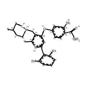 CCc1cccc(CC)c1-c1cc(Oc2ccc(C(N)=O)c(O)c2)c(CN2CCC(C)CC2)c(C)n1